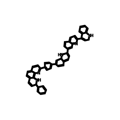 C1=CC2=CC=C(c3ccc4ccc(C5=CCNc6ccccc65)nc4c3)NC2C=C1c1ccc(-c2ccc3ccc4c(c3n2)NC(c2ccccc2)C=C4)cc1